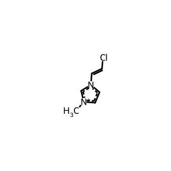 C[n+]1ccn(C=CCl)c1